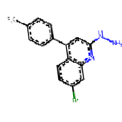 NNc1cc(-c2ccc(C(F)(F)F)cc2)c2ccc(Br)cc2n1